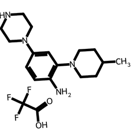 CC1CCN(c2cc(N3CCNCC3)ccc2N)CC1.O=C(O)C(F)(F)F